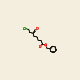 O=C=C(CCCl)CCCCC(=O)OCc1ccccc1